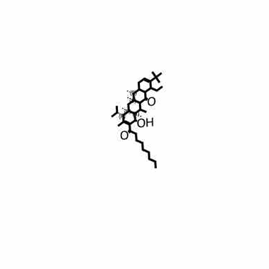 CCCCCCCCC(=O)C1=C(C)[C@H](C(C)C)[C@@]2(C)C[C@]3(C)C(C(=O)C4C(CC)C(C(C)(C)C)=CCC4[C@H]3C)C(C)[C@@]2(C)C1O